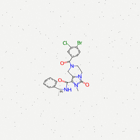 C[C@@H](NC(=O)c1c2n(c(=O)n1C)CCN(C(=O)c1ccc(Br)c(Cl)c1)C2)c1ccccc1